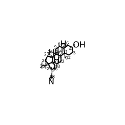 C[C@]12CC[C@@H](O)C[C@@H]1CC[C@@H]1[C@@H]2CC[C@@]23CC[C@@H](C#N)C[C@H]2CC[C@@H]13